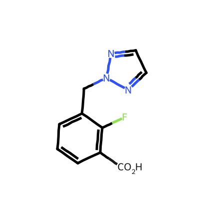 O=C(O)c1cccc(Cn2nccn2)c1F